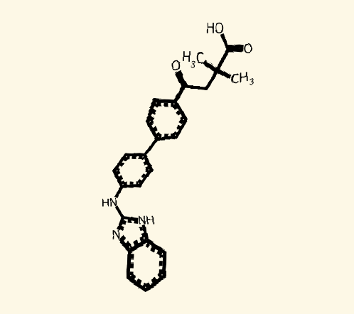 CC(C)(CC(=O)c1ccc(-c2ccc(Nc3nc4ccccc4[nH]3)cc2)cc1)C(=O)O